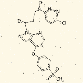 CCC(CCN(C)c1ccc(Cl)nn1)n1ncc2c(Oc3ccc(S(C)(=O)=O)cc3)ncnc21